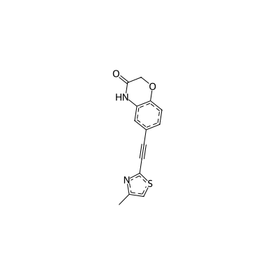 Cc1csc(C#Cc2ccc3c(c2)NC(=O)CO3)n1